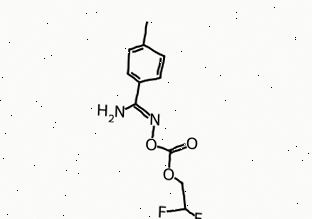 Cc1ccc(/C(N)=N/OC(=O)OCC(F)F)cc1